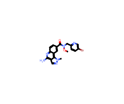 CON(Cc1ccc(Br)cn1)C(=O)c1ccc2nc(N)c3cnn(C)c3c2c1